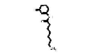 CCCCCCCC(=O)NC1=CC(=O)CCC1